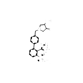 CC1CN(Cc2ccc(-c3cccc(S(N)(=O)=O)c3-c3nnn[nH]3)cc2)CC1F